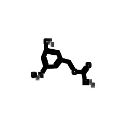 NC(=O)OCc1cc([N+](=O)[O-])cc(C(F)(F)F)c1